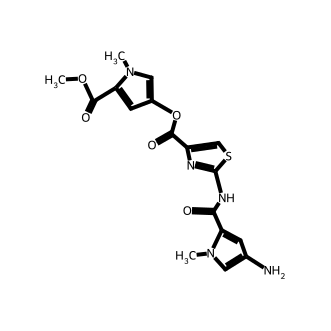 COC(=O)c1cc(OC(=O)c2csc(NC(=O)c3cc(N)cn3C)n2)cn1C